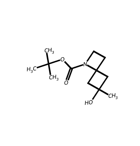 CC1(O)CC2(CCN2C(=O)OC(C)(C)C)C1